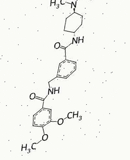 COc1ccc(C(=O)NCc2cccc(C(=O)N[C@H]3CC[C@H](N(C)C)CC3)c2)cc1OC